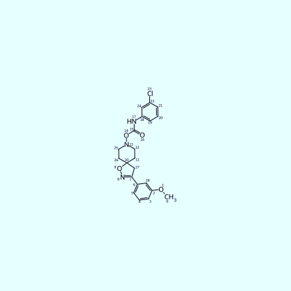 COc1cccc(C2=NOC3(CCN(OC(=O)Nc4cccc(Cl)c4)CC3)C2)c1